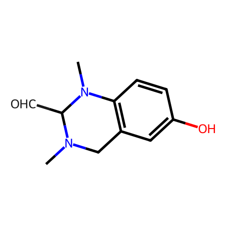 CN1Cc2cc(O)ccc2N(C)C1C=O